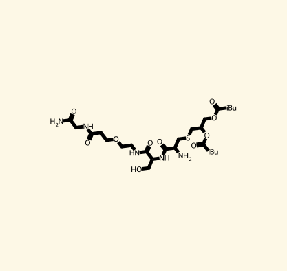 CCC(C)C(=O)OCC(CSCC(N)C(=O)NC(CO)C(=O)NCCOCCC(=O)NCC(N)=O)OC(=O)C(C)CC